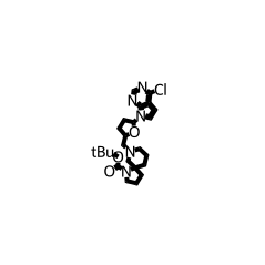 CC(C)(C)OC(=O)N1CCCC12CCCN(CC1CCC(n3ccc4c(Cl)ncnc43)O1)C2